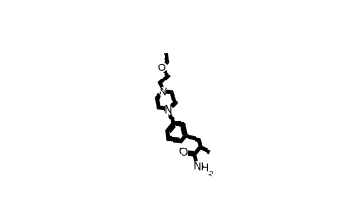 CCOCCN1CCN(c2cccc(C[C](C)C(N)=O)c2)CC1